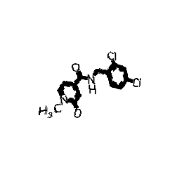 Cn1ccc(C(=O)NCc2ccc(Cl)cc2Cl)cc1=O